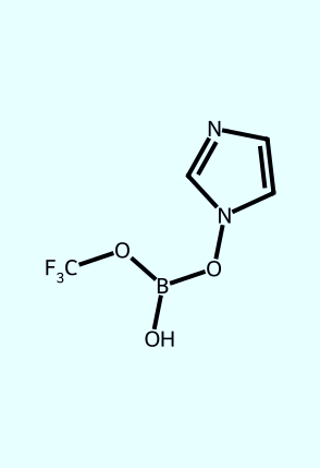 OB(On1ccnc1)OC(F)(F)F